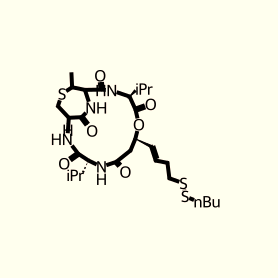 CCCCSSCC/C=C/[C@H]1CC(=O)N[C@H](C(C)C)C(=O)N[C@@H]2CSC(C)C(NC2=O)C(=O)N[C@@H](C(C)C)C(=O)O1